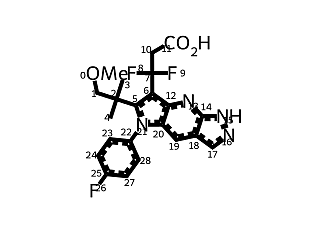 COCC(C)(C)c1c(C(F)(F)CC(=O)O)c2nc3[nH]ncc3cc2n1-c1ccc(F)cc1